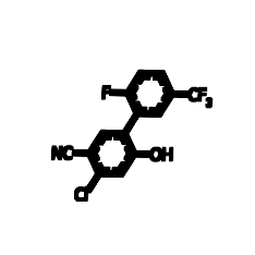 N#Cc1cc(-c2cc(C(F)(F)F)ccc2F)c(O)cc1Cl